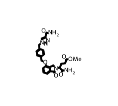 COC(=O)CCC(C(N)=O)N1Cc2c(OCc3ccc(Cn4cc(C(N)=O)nn4)cc3)cccc2C1=O